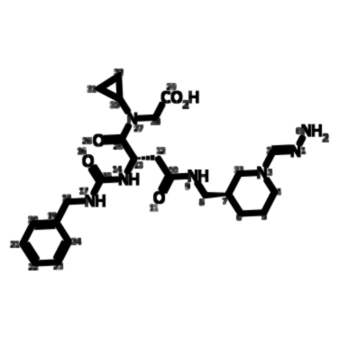 NN=CN1CCC[C@@H](CNC(=O)C[C@H](NC(=O)NCc2ccccc2)C(=O)N(CC(=O)O)C2CC2)C1